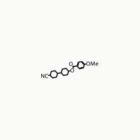 COc1ccc(C(=O)OC2CCC(C3CCC(C#N)CC3)CC2)cc1